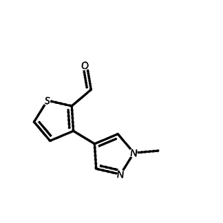 Cn1cc(-c2ccsc2C=O)cn1